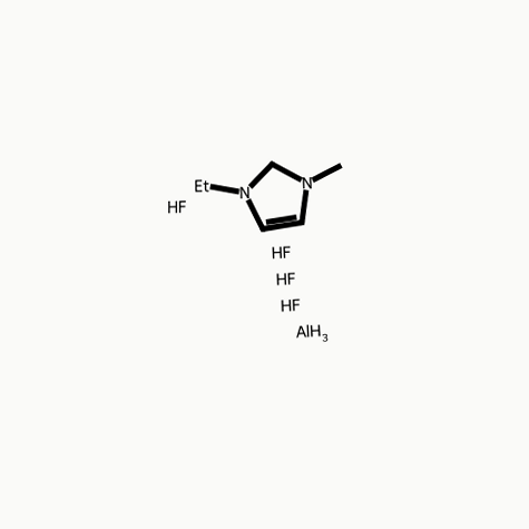 CCN1C=CN(C)C1.F.F.F.F.[AlH3]